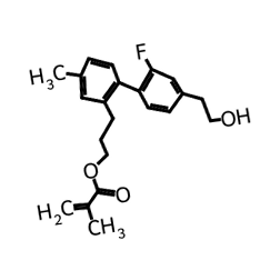 C=C(C)C(=O)OCCCc1cc(C)ccc1-c1ccc(CCO)cc1F